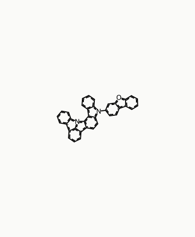 c1ccc2c(c1)oc1cc(-n3c4ccccc4c4c3ccc3c5cccc6c7ccccc7n(c65)c34)ccc12